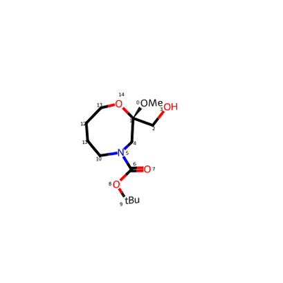 CO[C@@]1(CO)CN(C(=O)OC(C)(C)C)CCCCO1